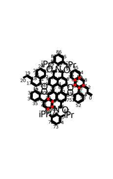 C=C/C=C\C=C(\Oc1cc2c3c(cc(OC(/C=C\C=C/C)c4ccccc4)c4c5c(Oc6ccccc6-c6ccccc6)cc6c7c(cc(Oc8ccccc8-c8ccccc8)c(c1c34)c75)C(=O)N(c1c(C(C)C)cccc1C(C)C)C6=O)C(=O)N(c1c(C(C)C)cccc1C(C)C)C2=O)c1ccccc1